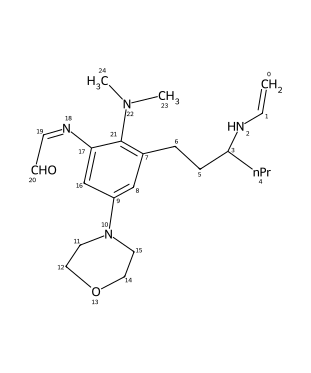 C=CNC(CCC)CCc1cc(N2CCOCC2)cc(/N=C\C=O)c1N(C)C